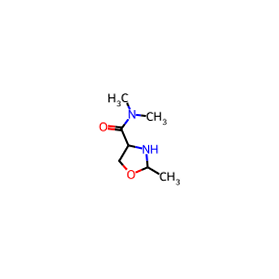 CC1NC(C(=O)N(C)C)CO1